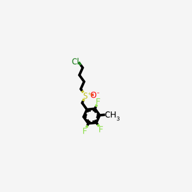 Cc1c(F)c(F)cc(C[S+]([O-])CCCCCl)c1F